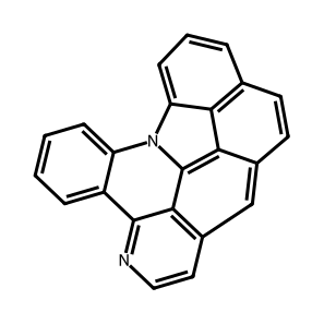 c1ccc2c(c1)c1nccc3cc4ccc5cccc6c5c4c(c31)n26